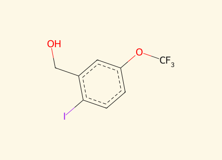 OCc1cc(OC(F)(F)F)ccc1I